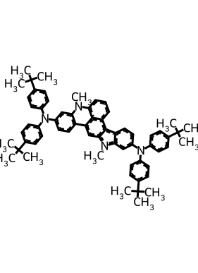 CN1c2cc(N(c3ccc(C(C)(C)C)cc3)c3ccc(C(C)(C)C)cc3)ccc2-c2cc3c(c4cccc1c24)c1ccc(N(c2ccc(C(C)(C)C)cc2)c2ccc(C(C)(C)C)cc2)cc1n3C